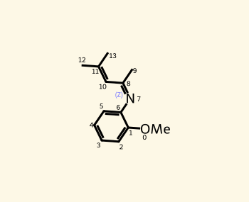 COc1ccccc1/N=C(/C)C=C(C)C